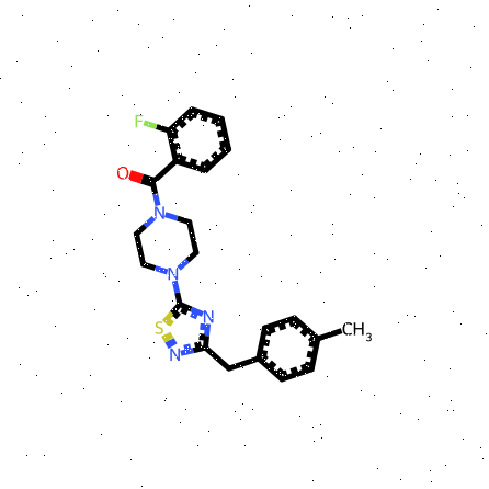 Cc1ccc(Cc2nsc(N3CCN(C(=O)c4ccccc4F)CC3)n2)cc1